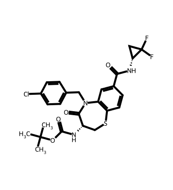 CC(C)(C)OC(=O)N[C@H]1CSc2ccc(C(=O)N[C@@H]3CC3(F)F)cc2N(Cc2ccc(Cl)cc2)C1=O